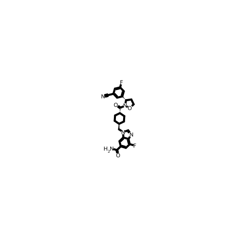 N#Cc1cc(F)cc([C@@H]2CCON2C(=O)[C@H]2CC[C@H](Cn3cnc4c(F)cc(C(N)=O)cc43)CC2)c1